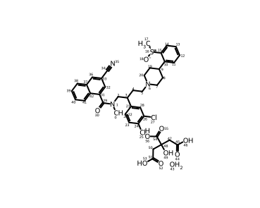 CN(CC(CCN1CCC(c2ccccc2[S@+](C)[O-])CC1)c1ccc(Cl)c(Cl)c1)C(=O)c1cc(C#N)cc2ccccc12.O.O=C(O)CC(O)(CC(=O)O)C(=O)O